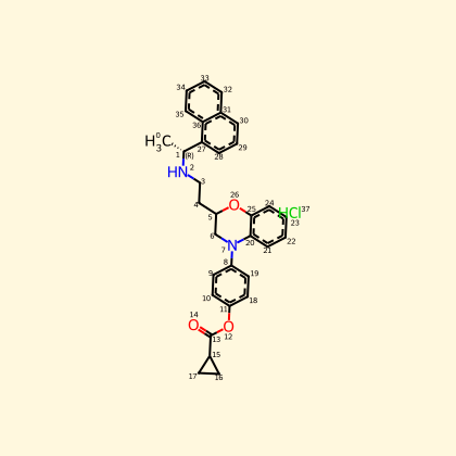 C[C@@H](NCCC1CN(c2ccc(OC(=O)C3CC3)cc2)c2ccccc2O1)c1cccc2ccccc12.Cl